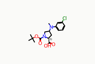 CN(c1cccc(Cl)c1)C1C[C@@H](C(=O)O)N(C(=O)OC(C)(C)C)C1